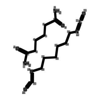 NC(=O)CCCCC(N)=O.O=C=NCCCCCCN=C=O